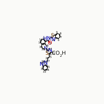 O=C(Nc1nc2ccccc2s1)c1cccc2c1CN(c1nc(C(=O)O)c(CCCn3cnc4ccccc43)s1)CC2